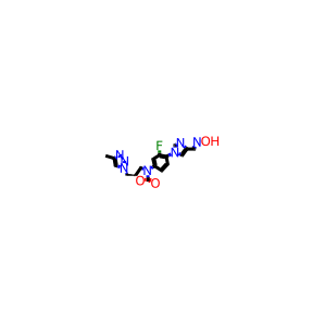 Cc1cn(C[C@H]2CN(c3ccc(-n4cnc(/C=N/O)c4)c(F)c3)C(=O)O2)nn1